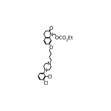 CCOC(=O)OCN1C(=O)CCc2ccc(OCCCCN3CCN(c4cccc(Cl)c4Cl)CC3)cc21